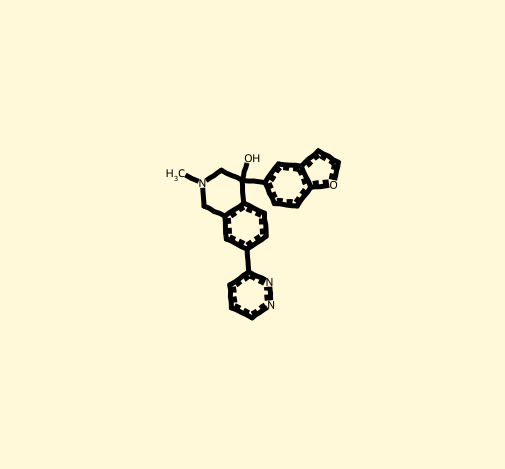 CN1Cc2cc(-c3cccnn3)ccc2C(O)(c2ccc3occc3c2)C1